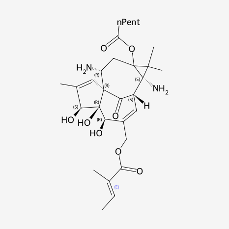 C/C=C(\C)C(=O)OCC1=C[C@@H]2C(=O)[C@]3(C=C(C)[C@H](O)[C@@]3(O)[C@@H]1O)[C@H](N)CC1(OC(=O)CCCCC)C(C)(C)[C@@]21N